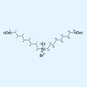 CCCCCCCCCCCCCCCCCC[N+](C)(CC)CCCCCCCCCCCCCCCCCC.[Br-]